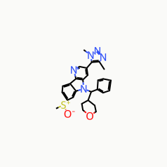 Cc1nnn(C)c1-c1cnc2c3ccc([S+](C)[O-])cc3n(C(c3ccccc3)C3CCOCC3)c2c1